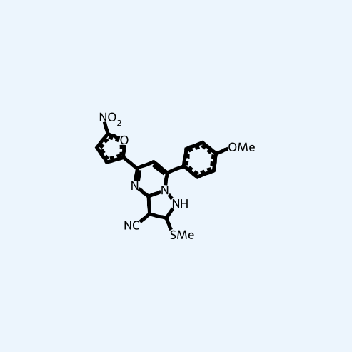 COc1ccc(C2=CC(c3ccc([N+](=O)[O-])o3)=NC3C(C#N)C(SC)NN23)cc1